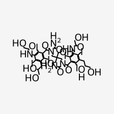 NC(=O)N(CC(CO)(CO)CN(C(N)=O)C(=O)c1c(I)c(CC(O)CO)c(I)c(NC(=O)CO)c1I)C(=O)c1c(I)c(CC(O)CO)c(I)c(NC(=O)CO)c1I